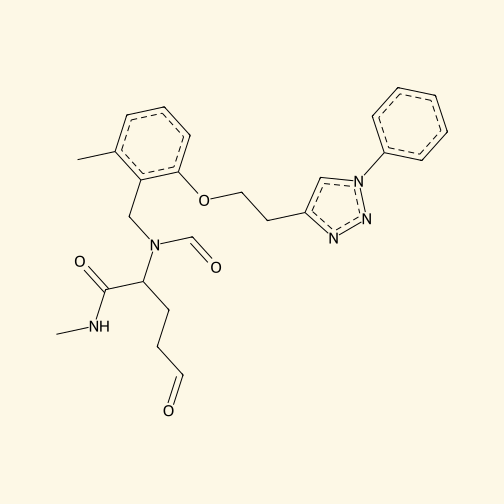 CNC(=O)C(CCC=O)N(C=O)Cc1c(C)cccc1OCCc1cn(-c2ccccc2)nn1